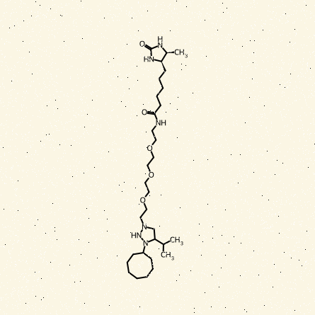 CC(C)C1CN(CCOCCOCCOCCNC(=O)CCCCC[C@H]2NC(=O)N[C@H]2C)NN1C1CCCCCCC1